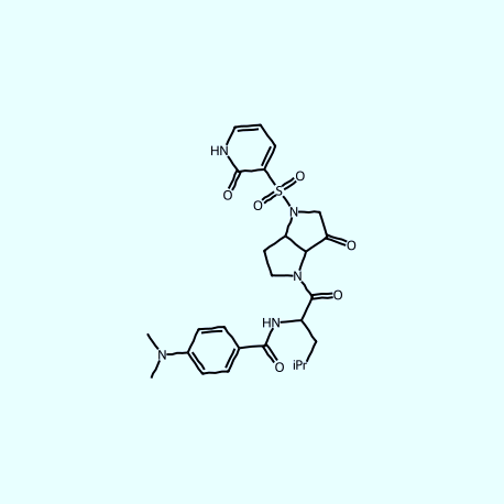 CC(C)CC(NC(=O)c1ccc(N(C)C)cc1)C(=O)N1CCC2C1C(=O)CN2S(=O)(=O)c1ccc[nH]c1=O